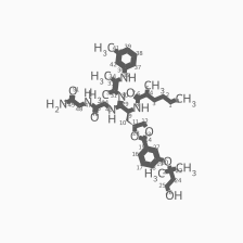 CCCCC(C)C(=O)N[C@@H](C[C@@H]1COC(c2cccc(OC(C)(C)CCO)c2)O1)/C(=N/C(C)=C(/C)Nc1cccc(C)c1)NCC(=O)NCC(N)=O